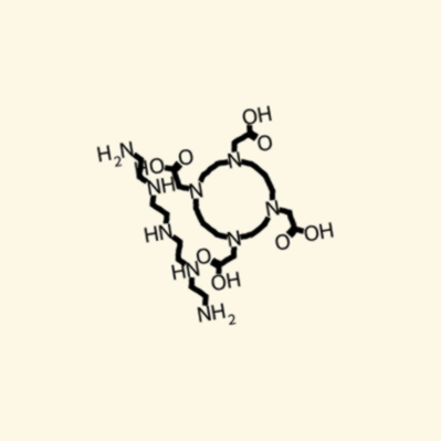 NCCNCCNCCNCCN.O=C(O)CN1CCCN(CC(=O)O)CCN(CC(=O)O)CCCN(CC(=O)O)CC1